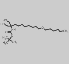 CCCCCCOCCCCCCCCC(CO)(CO)NC(=O)OC(C)(C)C